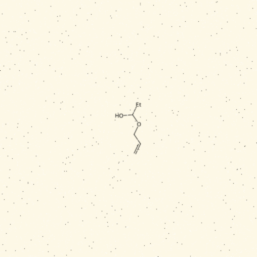 C=CCOC(O)CC